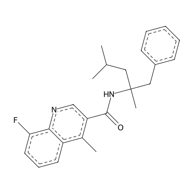 Cc1c(C(=O)NC(C)(Cc2ccccc2)CC(C)C)cnc2c(F)cccc12